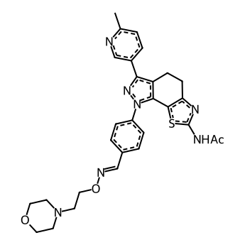 CC(=O)Nc1nc2c(s1)-c1c(c(-c3ccc(C)nc3)nn1-c1ccc(/C=N/OCCN3CCOCC3)cc1)CC2